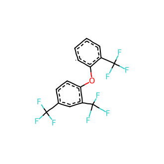 FC(F)(F)c1ccc(Oc2[c]cccc2C(F)(F)F)c(C(F)(F)F)c1